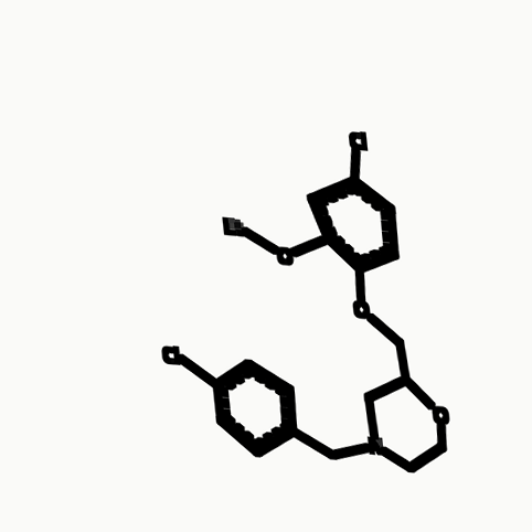 CCOc1cc(Cl)ccc1OCC1CN(Cc2ccc(Cl)cc2)CCO1